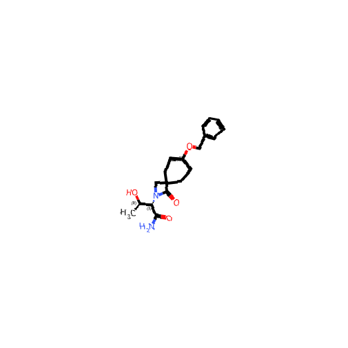 C[C@@H](O)[C@@H](C(N)=O)N1CC2(CCC(OCc3ccccc3)CC2)C1=O